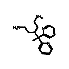 CC(c1ccccn1)(c1ccccn1)N(CCN)CCN